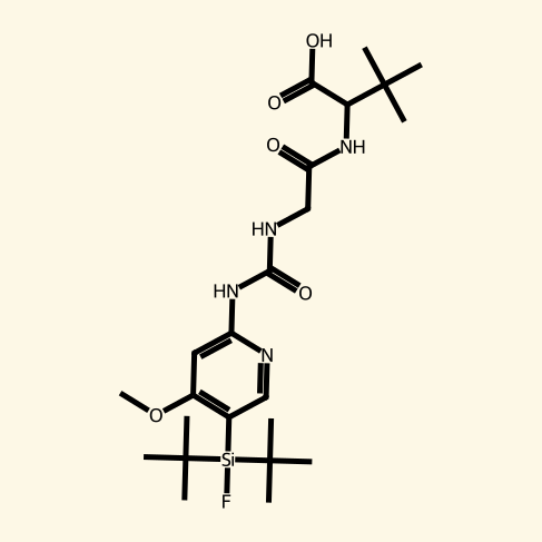 COc1cc(NC(=O)NCC(=O)NC(C(=O)O)C(C)(C)C)ncc1[Si](F)(C(C)(C)C)C(C)(C)C